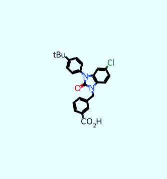 CC(C)(C)c1ccc(-n2c(=O)n(Cc3cccc(C(=O)O)c3)c3ccc(Cl)cc32)cc1